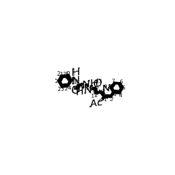 CC(=O)c1cc2ccccc2nc1CC(=O)NNC(=O)Nc1ccccc1